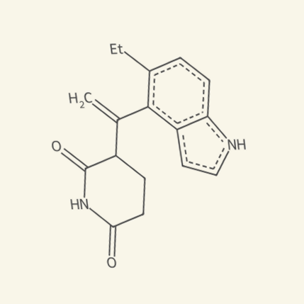 C=C(c1c(CC)ccc2[nH]ccc12)C1CCC(=O)NC1=O